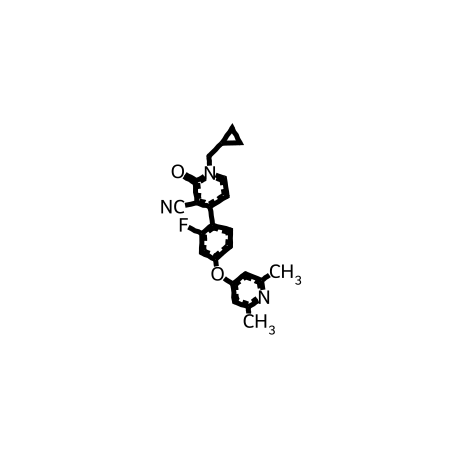 Cc1cc(Oc2ccc(-c3ccn(CC4CC4)c(=O)c3C#N)c(F)c2)cc(C)n1